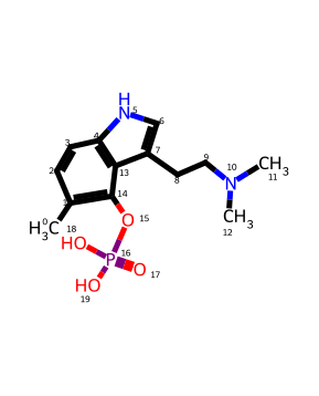 Cc1ccc2[nH]cc(CCN(C)C)c2c1OP(=O)(O)O